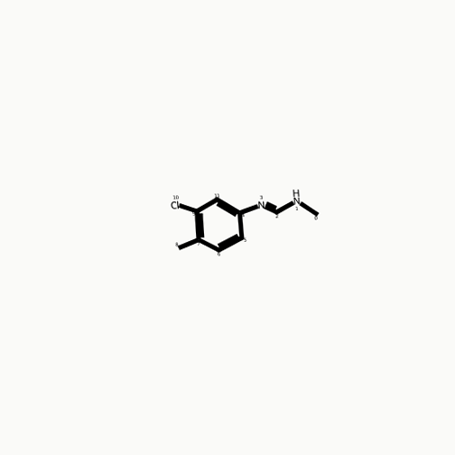 CNC=Nc1ccc(C)c(Cl)c1